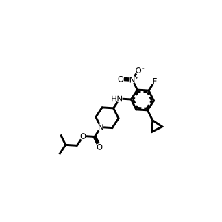 CC(C)COC(=O)N1CCC(Nc2cc(C3CC3)cc(F)c2[N+](=O)[O-])CC1